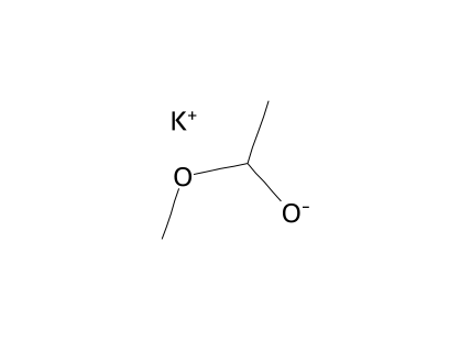 COC(C)[O-].[K+]